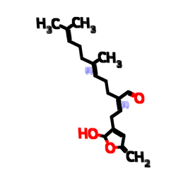 C=C1C=C(C/C=C(/C=O)CC/C=C(\C)CCC=C(C)C)C(O)O1